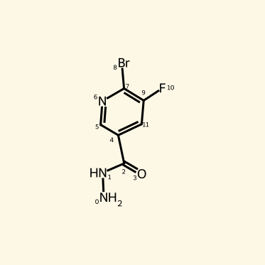 NNC(=O)c1cnc(Br)c(F)c1